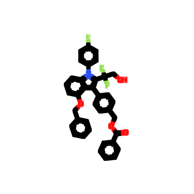 O=C(OCc1ccc(-c2c(C(F)(F)CO)n(-c3ccc(F)cc3)c3cccc(OCc4ccccc4)c23)cc1)c1ccccc1